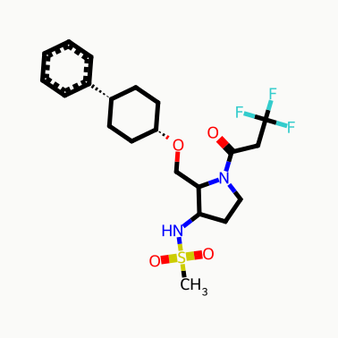 CS(=O)(=O)NC1CCN(C(=O)CC(F)(F)F)C1CO[C@H]1CC[C@@H](c2ccccc2)CC1